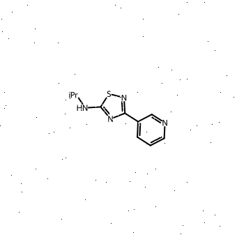 CC(C)Nc1nc(-c2cccnc2)ns1